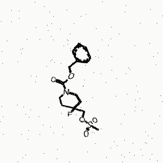 CS(=O)(=O)OCC1(F)CCN(C(=O)OCc2ccccc2)CC1